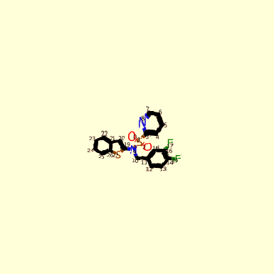 O=S(=O)(c1ccccn1)N(Cc1ccc(F)c(F)c1)c1cc2ccccc2s1